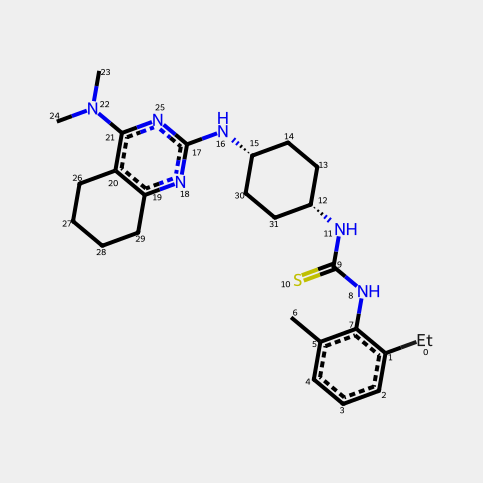 CCc1cccc(C)c1NC(=S)N[C@H]1CC[C@@H](Nc2nc3c(c(N(C)C)n2)CCCC3)CC1